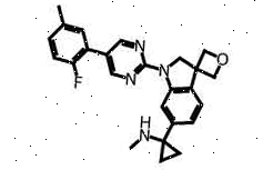 CNC1(c2ccc3c(c2)N(c2ncc(-c4cc(C)ccc4F)cn2)CC32COC2)CC1